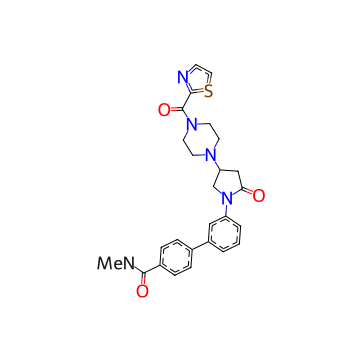 CNC(=O)c1ccc(-c2cccc(N3CC(N4CCN(C(=O)c5nccs5)CC4)CC3=O)c2)cc1